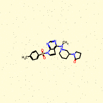 Cc1ccc(S(=O)(=O)n2ccc3c(N(C)N4CCCC(N5CCCC5=O)C4)ncnc32)cc1